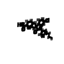 CCCn1cc(N2C(=O)C3(Cc4ccc(C(=O)O)nc4C3)c3ccc(Cl)cc32)cn1